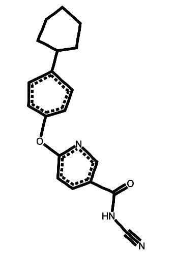 N#CNC(=O)c1ccc(Oc2ccc(C3CCCCC3)cc2)nc1